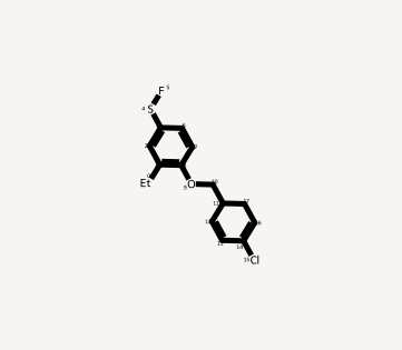 CCc1cc(SF)ccc1OCC1C=CC(Cl)=CC1